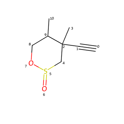 C#CC1(C)CS(=O)OCC1C